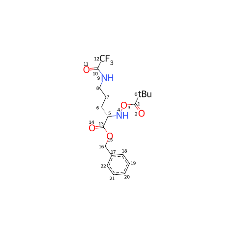 CC(C)(C)C(=O)ON[C@@H](CCCNC(=O)C(F)(F)F)C(=O)OCc1ccccc1